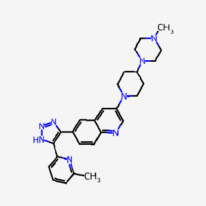 Cc1cccc(-c2[nH]nnc2-c2ccc3ncc(N4CCC(N5CCN(C)CC5)CC4)cc3c2)n1